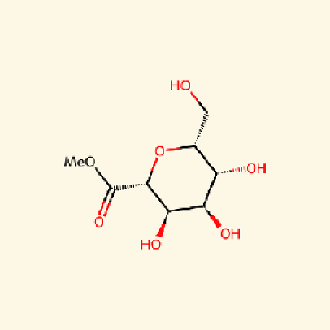 COC(=O)[C@@H]1O[C@H](CO)[C@H](O)[C@@H](O)[C@H]1O